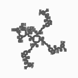 CC(C)(C)OC(=O)C(CCC(=O)N1CCN(C(=O)NCCCCOc2ccc3nccc(C(=O)NCC(=O)N4CC(F)(F)C[C@H]4C#N)c3c2)CCN(C(=O)NCCCCOc2ccc3nccc(C(=O)NCC(=O)N4CC(F)(F)C[C@H]4C#N)c3c2)CCN(C(=O)NCCCCOc2ccc3nccc(C(=O)NCC(=O)N4CC(F)(F)C[C@H]4C#N)c3c2)CC1)N1CCN(CC(=O)O)CCN(CC(=O)O)CCN(CC(=O)O)CC1